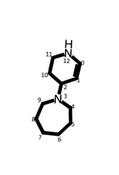 C1=CC(N2CCCCCC2)CCN1